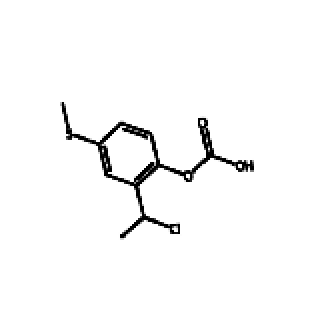 CSc1ccc(OC(=O)O)c(C(C)Cl)c1